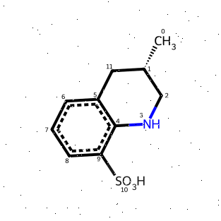 C[C@@H]1CNc2c(cccc2S(=O)(=O)O)C1